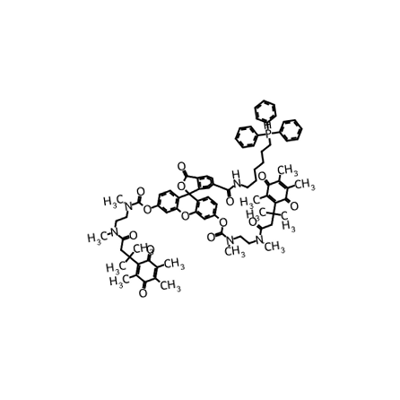 CC1=C(C)C(=O)C(C(C)(C)CC(=O)N(C)CCN(C)C(=O)Oc2ccc3c(c2)Oc2cc(OC(=O)N(C)CCN(C)C(=O)CC(C)(C)C4=C(C)C(=O)C(C)=C(C)C4=O)ccc2C32OC(=O)c3ccc(C(=O)NCCCCCC[PH](c4ccccc4)(c4ccccc4)c4ccccc4)cc32)=C(C)C1=O